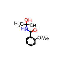 COc1ccccc1C(=O)NC(C)(C)O